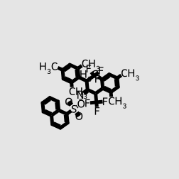 Cc1cc(C)c(C(C(=NOS(=O)(=O)c2cccc3ccccc23)C(c2c(C)cc(C)cc2C)C(F)(F)F)C(F)(F)F)c(C)c1